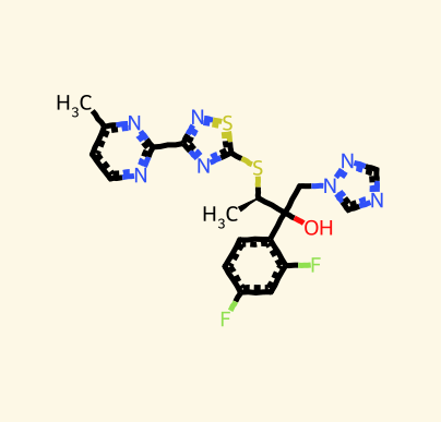 Cc1ccnc(-c2nsc(S[C@H](C)C(O)(Cn3cncn3)c3ccc(F)cc3F)n2)n1